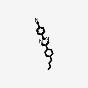 CCCCC1CCC(c2cnc(-c3ccc(C#N)cc3)nc2)CC1